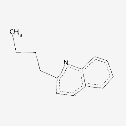 CCCCc1c[c]c2ccccc2n1